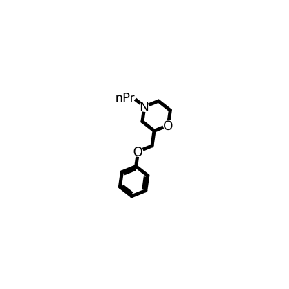 CCCN1CCOC(COc2ccccc2)C1